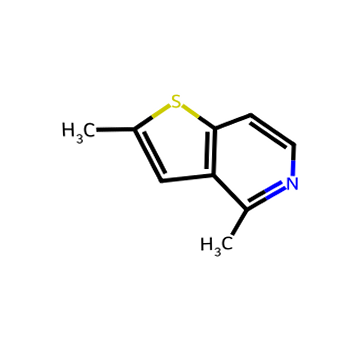 Cc1cc2c(C)nccc2s1